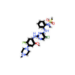 COc1cc(N2CCN(C)CC2)c(F)cc1Nc1ncc(Cl)c(Nc2ccccc2N(C)S(C)(=O)=O)n1